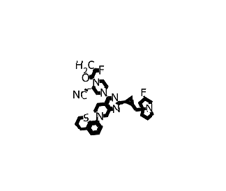 C=C(F)C(=O)N1CCN(c2nc(C3CC3CC34CCCN3C[C@H](F)C4)nc3c2CCN(c2cccc4c2SCCC4)C3)C[C@@H]1CC#N